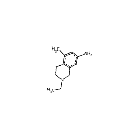 CCN1CCc2c(C)cc(N)cc2C1